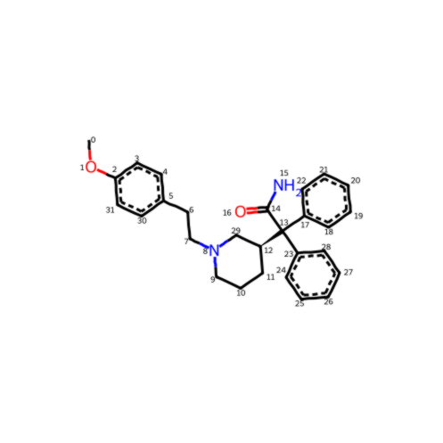 COc1ccc(CCN2CCC[C@H](C(C(N)=O)(c3ccccc3)c3ccccc3)C2)cc1